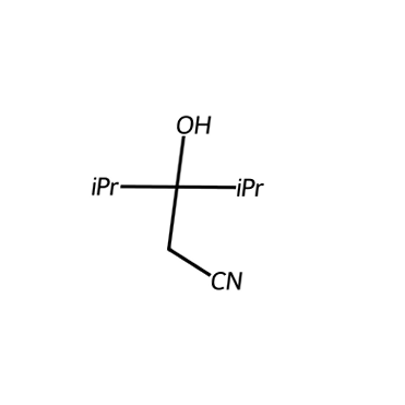 CC(C)C(O)(CC#N)C(C)C